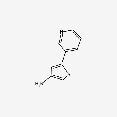 Nc1csc(-c2cccnc2)c1